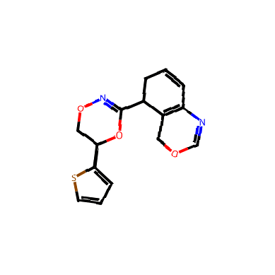 C1=CC2=C(COC=N2)C(C2=NOCC(c3cccs3)O2)C1